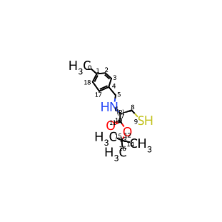 Cc1ccc(CN[C@@H](CS)C(=O)OC(C)(C)C)cc1